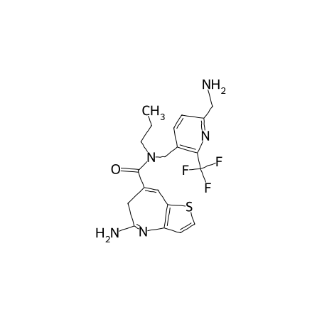 CCCN(Cc1ccc(CN)nc1C(F)(F)F)C(=O)C1=Cc2sccc2N=C(N)C1